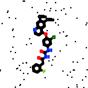 COc1cc2nccc(Oc3ccc(NC(=O)NC(=O)Cc4ccccc4F)cc3Cl)c2cc1OC